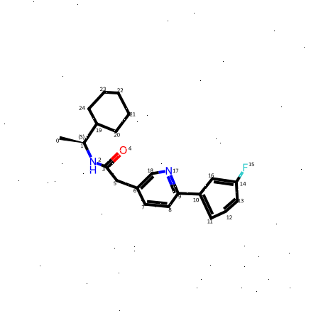 C[C@H](NC(=O)Cc1ccc(-c2cccc(F)c2)nc1)C1CCCCC1